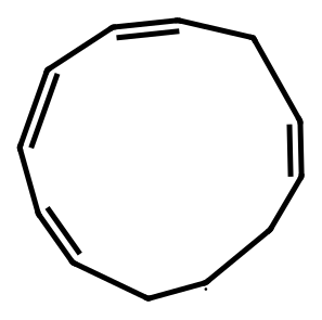 [CH]1CC=CC=CC=CCC=CC1